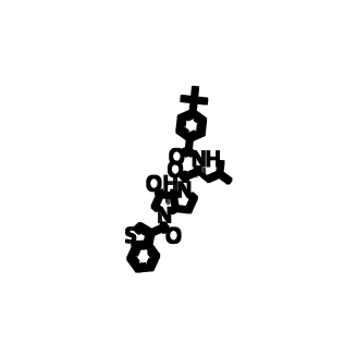 CC(C)C[C@H](NC(=O)c1ccc(C(C)(C)C)cc1)C(=O)N1CCC2[C@H]1C(=O)CN2C(=O)c1csc2ccccc12